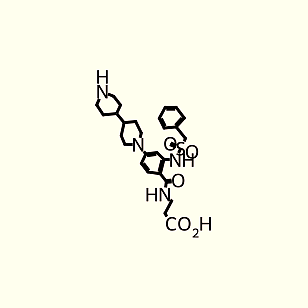 O=C(O)CCNC(=O)c1ccc(N2CCC(C3CCNCC3)CC2)cc1NS(=O)(=O)Cc1ccccc1